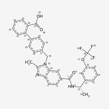 Cc1nc2ccc(C(=O)N[C@@H](C)c3cccc(OC(F)(F)F)c3)cc2n1Cc1ccc(-c2ccccc2C(=O)O)cc1